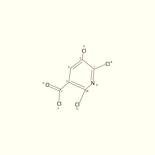 O=C(Cl)c1cc(Cl)c(Cl)nc1Cl